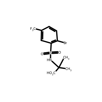 CC(C)(NS(=O)(=O)c1cc(C(F)(F)F)ccc1Br)C(=O)O